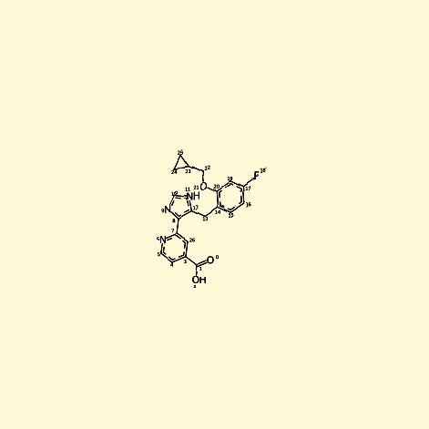 O=C(O)c1ccnc(-c2nc[nH]c2Cc2ccc(F)cc2OCC2CC2)c1